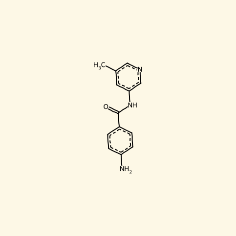 Cc1cncc(NC(=O)c2ccc(N)cc2)c1